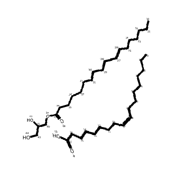 CCCCCCCC/C=C\CCCCCCCC(=O)O.CCCCCCCCCCCCCCCCCC(=O)OCC(O)CO